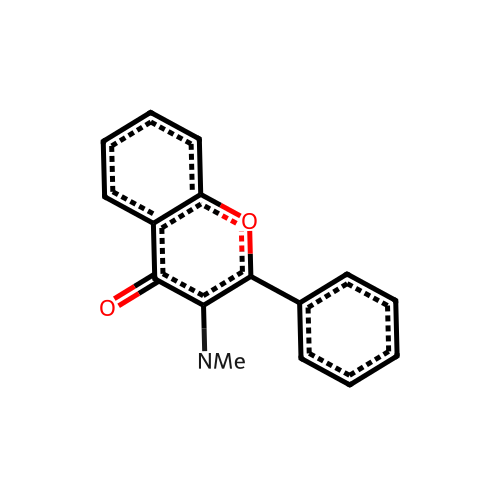 CNc1c(-c2ccccc2)oc2ccccc2c1=O